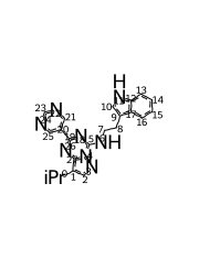 CC(C)c1cnn2c(NCCc3c[nH]c4ccccc34)nc(-c3cncnc3)nc12